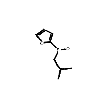 CC(C)C[S+]([O-])c1ccco1